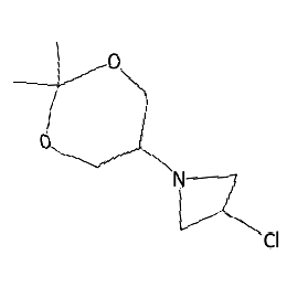 CC1(C)OCC(N2CC(Cl)C2)CO1